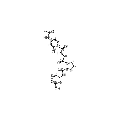 CC(=O)Nc1ccc(C(=O)NCC(=O)N2CCC[C@H]2C(=O)N[C@H](C=O)CC(=O)O)c(Cl)c1